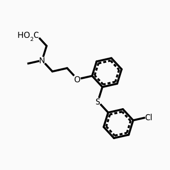 CN(CCOc1ccccc1Sc1cccc(Cl)c1)CC(=O)O